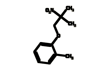 Cc1ccccc1OCC(C)(C)[N+](=O)[O-]